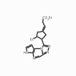 CCOC(=O)C/C=C1\CC(CC)C(c2nnc3cnc4[nH]ccc4n23)C1